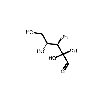 O=CC(O)(O)[C@H](O)[C@H](O)CO